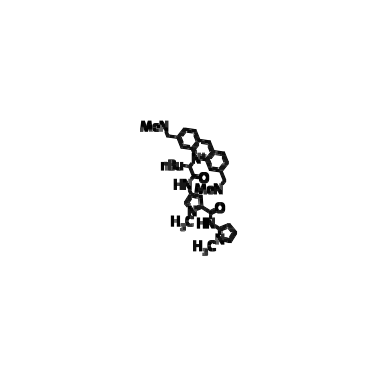 CCCCC(C(=O)Nc1cc(C(=O)Nc2cccn2C)n(C)c1)[n+]1c2cc(CNC)ccc2cc2ccc(CNC)cc21